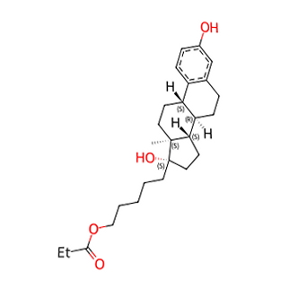 CCC(=O)OCCCCC[C@]1(O)CC[C@H]2[C@@H]3CCc4cc(O)ccc4[C@H]3CC[C@@]21C